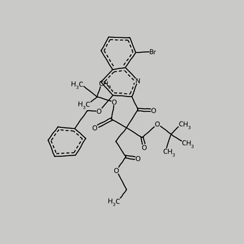 CCOC(=O)CC(C(=O)OC(C)(C)C)(C(=O)OC(C)(C)C)C(=O)c1nc2c(Br)cccc2cc1OCc1ccccc1